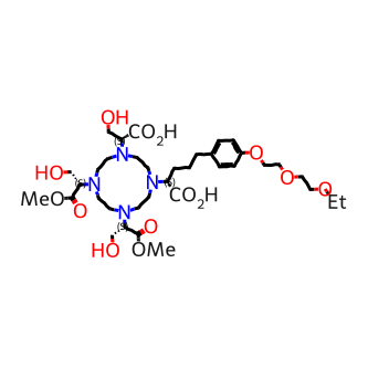 CCOCCOCCOc1ccc(CCC[C@@H](C(=O)O)N2CCN([C@@H](CO)C(=O)O)CCN([C@@H](CO)C(=O)OC)CCN([C@@H](CO)C(=O)OC)CC2)cc1